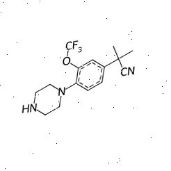 CC(C)(C#N)c1ccc(N2CCNCC2)c(OC(F)(F)F)c1